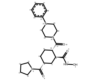 O=C(NO)[C@H]1C[C@H](C(=O)N2CCCC2)CC[C@@H]1C(=O)N1CCN(c2ccccc2)CC1